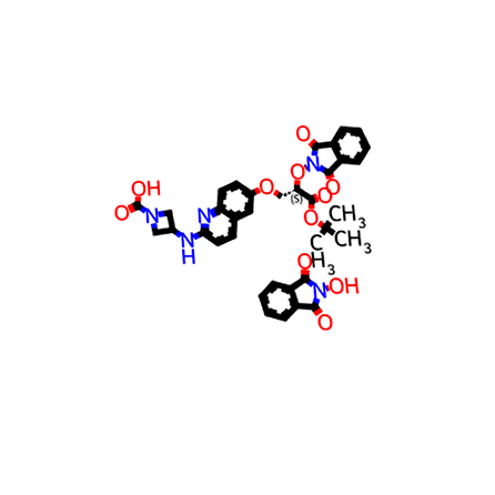 CC(C)(C)OC(=O)[C@H](COc1ccc2nc(NC3CN(C(=O)O)C3)ccc2c1)ON1C(=O)c2ccccc2C1=O.O=C1c2ccccc2C(=O)N1O